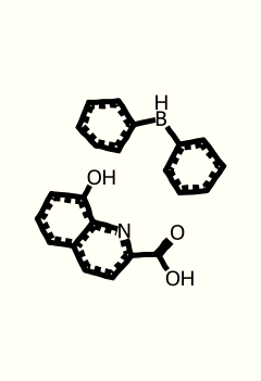 B(c1ccccc1)c1ccccc1.O=C(O)c1ccc2cccc(O)c2n1